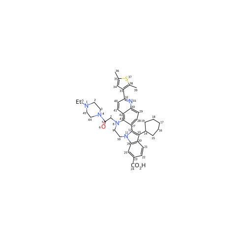 CCN1CCN(C(=O)CN2CCn3c(c(C4CCCCC4)c4ccc(C(=O)O)cc43)-c3ccc4nc(-c5cc(C)sc5C)ccc4c32)CC1